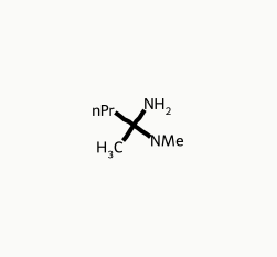 CCCC(C)(N)NC